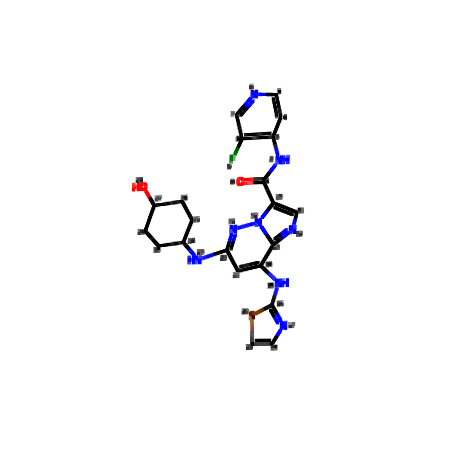 O=C(Nc1ccncc1F)c1cnc2c(Nc3nccs3)cc(NC3CCC(O)CC3)nn12